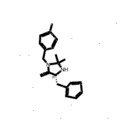 C=C1[C@@H](Cc2ccccc2)NC(C)(C)N1Cc1ccc(C)cc1